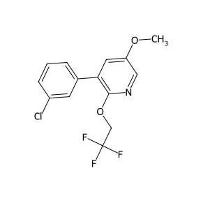 COc1cnc(OCC(F)(F)F)c(-c2cccc(Cl)c2)c1